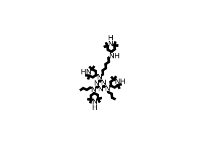 CCCCN(c1nc(N(CCCC)C2CC(C)(C)NC(C)(C)C2)nc(N(CCCCCCNC2CC(C)(C)NC(C)(C)C2)C2CC(C)(C)NC(C)(C)C2)n1)C1CC(C)(C)NC(C)(C)C1